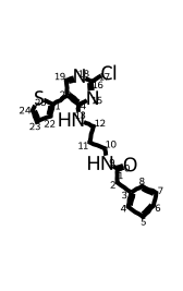 O=C(Cc1ccccc1)NCCCNc1nc(Cl)ncc1-c1cccs1